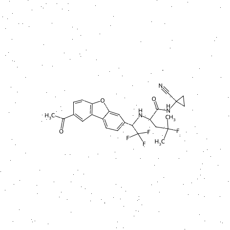 CC(=O)c1ccc2oc3cc(C(NC(CC(C)(C)F)C(=O)NC4(C#N)CC4)C(F)(F)F)ccc3c2c1